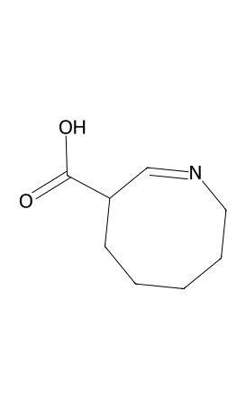 O=C(O)C1C=NCCCCC1